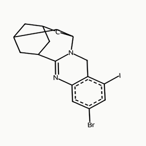 Brc1cc(I)c2c(c1)N=C1C3CC4CC(C3)CC(C4)N1C2